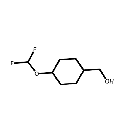 OCC1CCC(OC(F)F)CC1